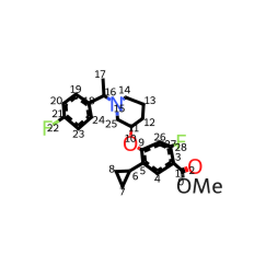 COC(=O)c1cc(C2CC2)c(O[C@@H]2CCCN(C(C)c3ccc(F)cc3)C2)cc1F